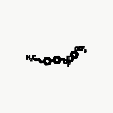 C=CCCC1CCC(c2ccc(COC(F)(F)Cc3ccc(OC(F)(F)F)cc3)cc2)CC1